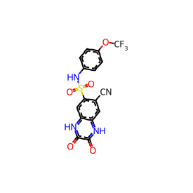 N#Cc1cc2[nH]c(=O)c(=O)[nH]c2cc1S(=O)(=O)Nc1ccc(OC(F)(F)F)cc1